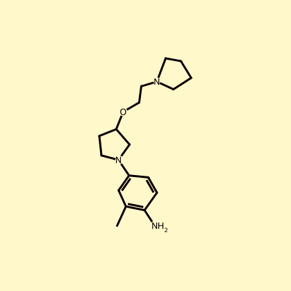 Cc1cc(N2CCC(OCCN3CCCC3)C2)ccc1N